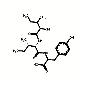 CCC(C)C(S)C(=O)N[C@H](C(=O)N[C@@H](Cc1ccc(O)cc1)C(=O)O)[C@@H](C)CC